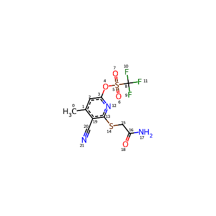 Cc1cc(OS(=O)(=O)C(F)(F)F)nc(SCC(N)=O)c1C#N